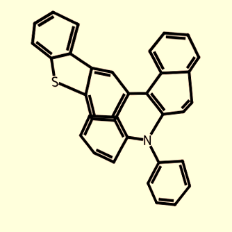 c1ccc(N(c2ccccc2)c2ccc3ccccc3c2-c2ccc3sc4ccccc4c3c2)cc1